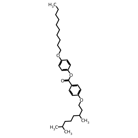 CCCCCCCCCCOc1ccc(OC(=O)c2ccc(OCCC(C)CCCC(C)C)cc2)cc1